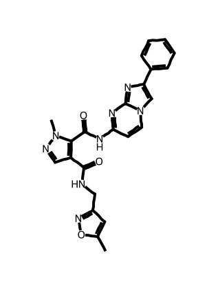 Cc1cc(CNC(=O)c2cnn(C)c2C(=O)Nc2ccn3cc(-c4ccccc4)nc3n2)no1